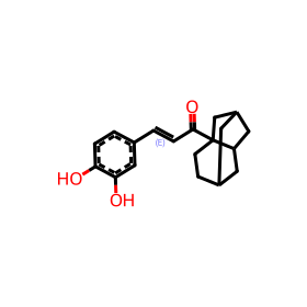 O=C(/C=C/c1ccc(O)c(O)c1)C12CCC3CC(CC1C3)C2